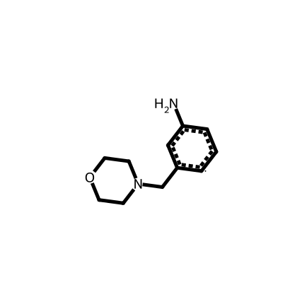 Nc1cc[c]c(CN2CCOCC2)c1